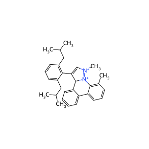 Cc1cccc2c1[N+]1=[N+](C)C=C(c3c(CC(C)C)cccc3CC(C)C)C1c1ccccc1-2